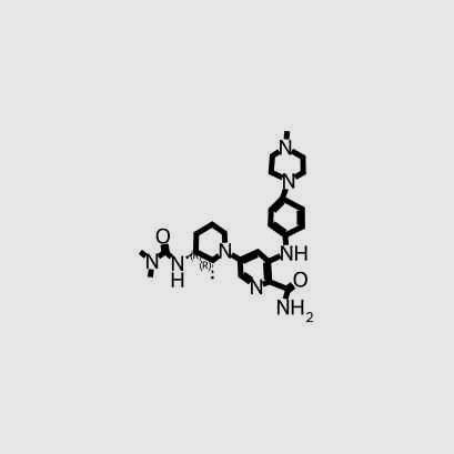 C[C@@H]1[C@H](NC(=O)N(C)C)CCCN1c1cnc(C(N)=O)c(Nc2ccc(N3CCN(C)CC3)cc2)c1